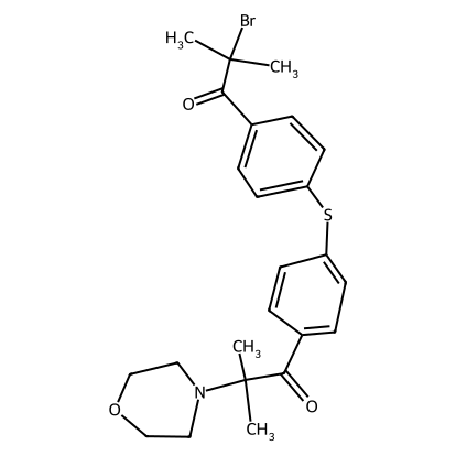 CC(C)(Br)C(=O)c1ccc(Sc2ccc(C(=O)C(C)(C)N3CCOCC3)cc2)cc1